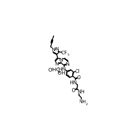 CC#CCn1cc(-c2cnc3c(Nc4ccc(C(=O)NCC(=O)NCCN)c(Cl)c4)nccn23)c(C(F)(F)F)n1.O=CO